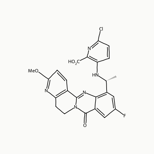 COc1ccc2c(n1)CCn1c-2nc2c([C@@H](C)Nc3ccc(Cl)nc3C(=O)O)cc(F)cc2c1=O